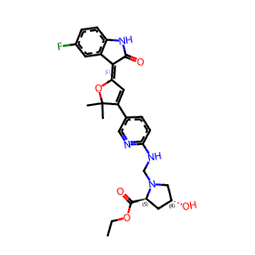 CCOC(=O)[C@@H]1C[C@@H](O)CN1CNc1ccc(C2=C/C(=C3\C(=O)Nc4ccc(F)cc43)OC2(C)C)cn1